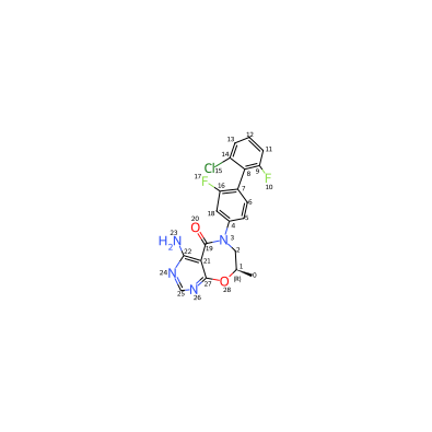 C[C@@H]1CN(c2ccc(-c3c(F)cccc3Cl)c(F)c2)C(=O)c2c(N)ncnc2O1